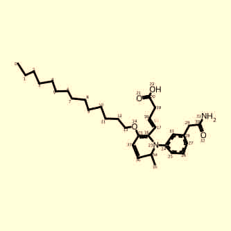 CCCCCCCCCCCCCCOC1=C(/C=C/CC(=O)O)N(c2cccc(CC(N)=O)c2)C(C)C=C1